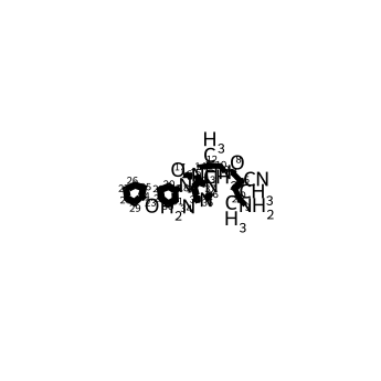 CC(C)(N)C=C(C#N)C(=O)NCC(C)(C)Cn1c(=O)n(-c2ccc(Oc3ccccc3)cc2)c2c(N)ncnc21